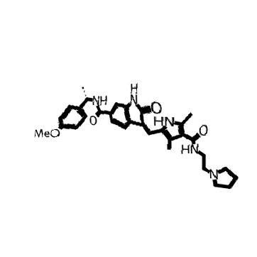 COc1ccc([C@H](C)NC(=O)c2ccc3c(c2)NC(=O)/C3=C\c2[nH]c(C)c(C(=O)NCCN3CCCC3)c2C)cc1